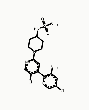 Cc1cc(Cl)cnc1-c1cc(N2CCC(NS(C)(=O)=O)CC2)ncc1Cl